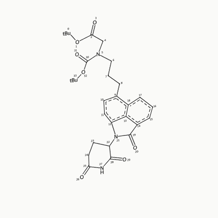 CC(C)(C)OC(=O)CN(CCCc1ccc2c3c(cccc13)C(=O)N2C1CCC(=O)NC1=O)C(=O)OC(C)(C)C